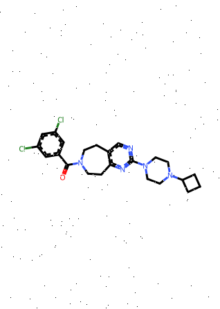 O=C(c1cc(Cl)cc(Cl)c1)N1CCc2cnc(N3CCN(C4CCC4)CC3)nc2CC1